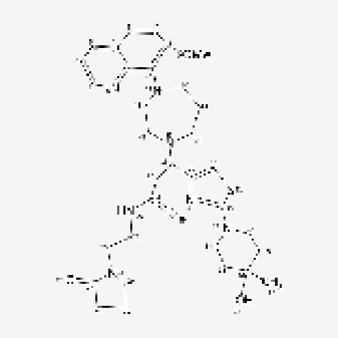 COc1ccc2cccnc2c1N1CCCN(C(CC(=O)NCCN2CCCC2=O)c2csc(N3CCC(C)(O)CC3)n2)CC1